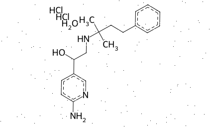 CC(C)(CCc1ccccc1)NCC(O)c1ccc(N)nc1.Cl.Cl.O